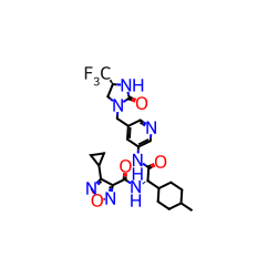 CC1CCC([C@H](NC(=O)c2nonc2C2CC2)C(=O)Nc2cncc(CN3C[C@@H](C(F)(F)F)NC3=O)c2)CC1